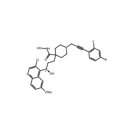 COc1ccc2ncc(Cl)c([C@H](O)CCC3(C(=O)NO)CCN(CC#Cc4ccc(F)cc4F)CC3)c2c1